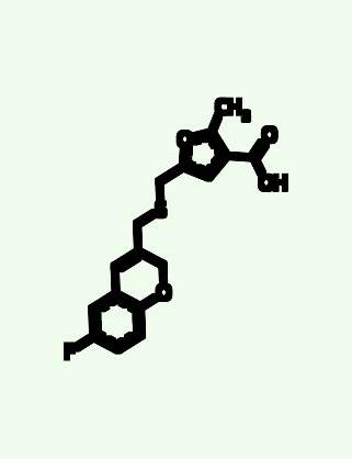 Cc1oc(CSCC2=Cc3cc(F)ccc3OC2)cc1C(=O)O